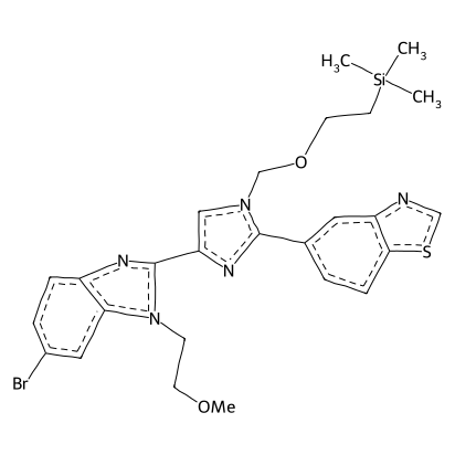 COCCn1c(-c2cn(COCC[Si](C)(C)C)c(-c3ccc4scnc4c3)n2)nc2ccc(Br)cc21